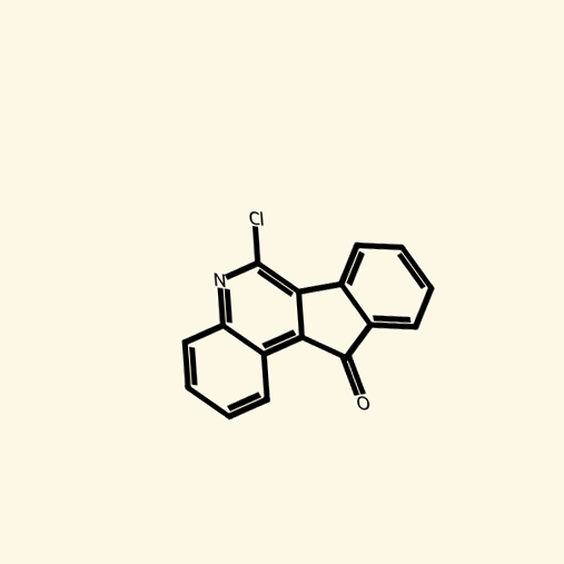 O=C1c2ccccc2-c2c(Cl)nc3ccccc3c21